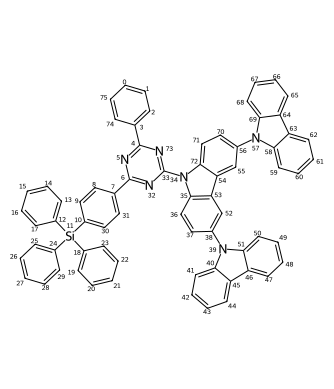 c1ccc(-c2nc(-c3ccc([Si](c4ccccc4)(c4ccccc4)c4ccccc4)cc3)nc(-n3c4ccc(-n5c6ccccc6c6ccccc65)cc4c4cc(-n5c6ccccc6c6ccccc65)ccc43)n2)cc1